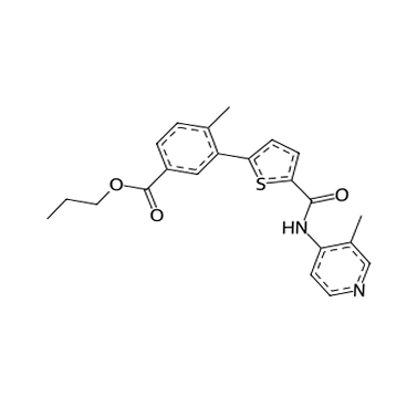 CCCOC(=O)c1ccc(C)c(-c2ccc(C(=O)Nc3ccncc3C)s2)c1